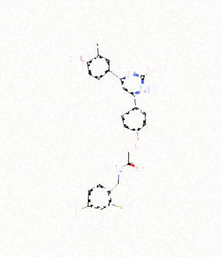 Cc1cc(-c2cc(-c3ccc(OCC(=O)NCc4ccc(F)cc4F)cc3)[nH]c(=O)n2)ccc1O